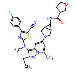 CCc1nn2c(C)cc(N3CC4C(C3)C4NC(=O)C3CCOC3)cc2c1N(C)c1nc(-c2ccc(F)cc2)c(C#N)s1